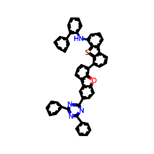 c1ccc(-c2nc(-c3ccccc3)nc(-c3ccc4oc5c(-c6cccc7c6sc6c(Nc8ccccc8-c8ccccc8)cccc67)cccc5c4c3)n2)cc1